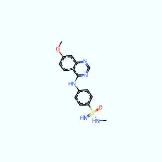 CN[S@@](=N)(=O)c1ccc(Nc2ncnc3cc(OC)ccc23)cc1